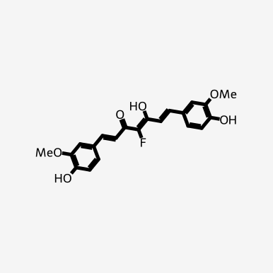 COc1cc(/C=C/C(=O)/C(F)=C(O)/C=C/c2ccc(O)c(OC)c2)ccc1O